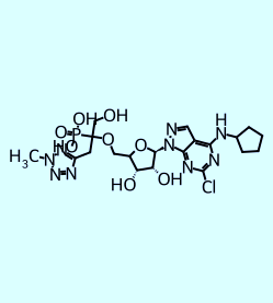 Cn1nnc(CC(CO)(OCC2O[C@@H](n3ncc4c(NC5CCCC5)nc(Cl)nc43)[C@H](O)[C@@H]2O)P(=O)(O)O)n1